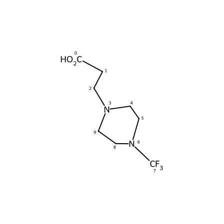 O=C(O)CCN1CCN(C(F)(F)F)CC1